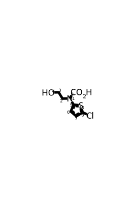 O=C(O)N(CCO)c1ccc(Cl)s1